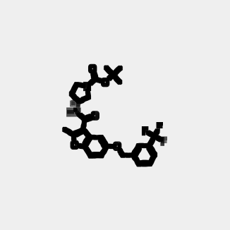 Cc1oc2ccc(OCc3cccc(C(F)(F)F)c3)cc2c1C(=O)N[C@@H]1CCN(C(=O)OC(C)(C)C)C1